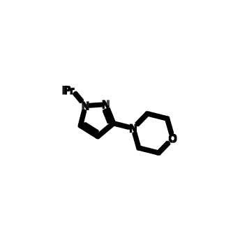 CC(C)n1ccc(N2CCOCC2)n1